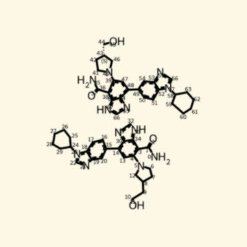 NC(=O)c1c(N2CCC(CCO)C2)cc(-c2ccc3c(c2)ncn3C2CCCCC2)c2nc[nH]c12.NC(=O)c1c(N2CC[C@H](CO)C2)cc(-c2ccc3c(c2)ncn3C2CCCCC2)c2nc[nH]c12